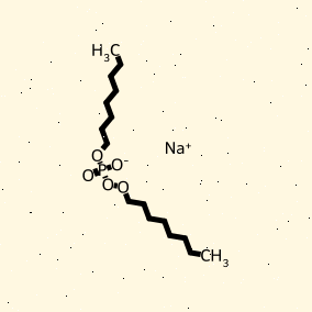 CCCCCCCCOOP(=O)([O-])OCCCCCCCC.[Na+]